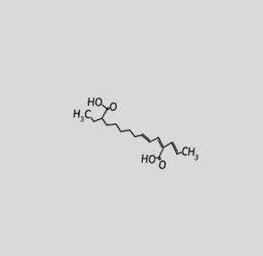 CC=CC(=CC=CCCCCCC(CC)C(=O)O)C(=O)O